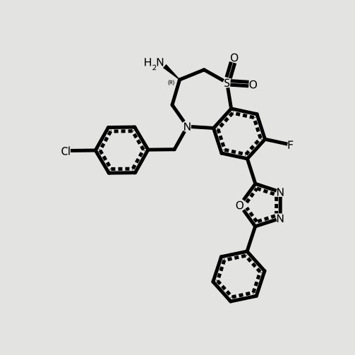 N[C@@H]1CN(Cc2ccc(Cl)cc2)c2cc(-c3nnc(-c4ccccc4)o3)c(F)cc2S(=O)(=O)C1